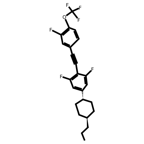 CCC[C@H]1CC[C@H](c2cc(F)c(C#Cc3ccc(OC(F)(F)F)c(F)c3)c(F)c2)CC1